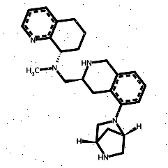 CN(C[C@@H]1Cc2c(cccc2N2C[C@@H]3C[C@H]2CN3)CN1)[C@H]1CCCc2cccnc21